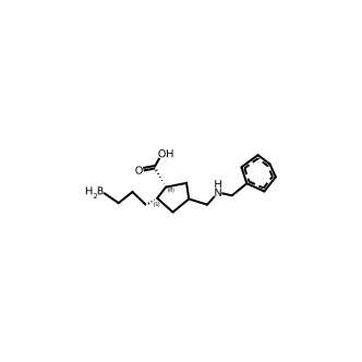 BCCC[C@H]1CC(CNCc2ccccc2)C[C@H]1C(=O)O